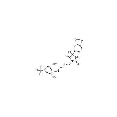 CCCc1cc(C(O)(C(F)(F)F)C(F)(F)F)cc(CCC)c1OCC=CCN1C(=O)NC(CC)(c2ccc3c(c2)OCO3)C1=O